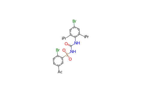 CC(=O)c1ccc(Br)c(S(=O)(=O)NC(=O)Nc2c(C(C)C)cc(Br)cc2C(C)C)c1